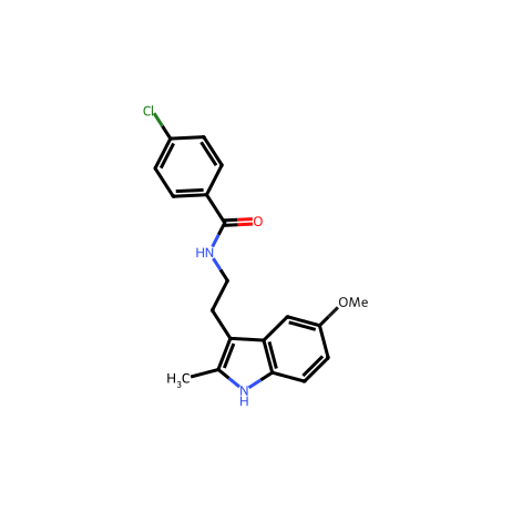 COc1ccc2[nH]c(C)c(CCNC(=O)c3ccc(Cl)cc3)c2c1